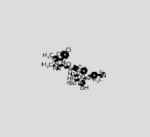 Cc1ncsc1-c1ccc(CNC(=O)[C@@H]2C[C@@H](O)CN2C(=O)[C@@H](NC(=O)COc2ccccc2O[C@H]2C[C@@H](NC(=O)C[C@@H]3N=C(c4ccc(Cl)cc4)c4c(sc(C)c4C)-n4c(C)nnc43)C2)C(C)(C)C)cc1